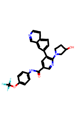 O=C(Nc1ccc(OC(F)(F)F)cc1)c1cnc(N2CCC(O)C2)c(-c2ccc3ccncc3c2)c1